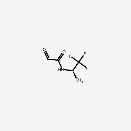 C[C@@H](NC(=O)[C]=O)C(F)(F)F